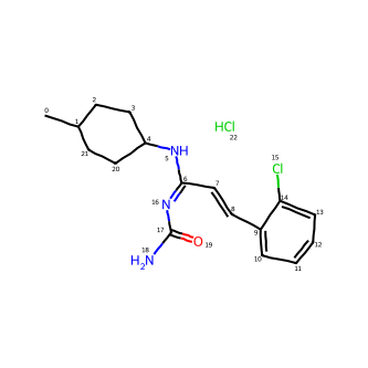 CC1CCC(NC(C=Cc2ccccc2Cl)=NC(N)=O)CC1.Cl